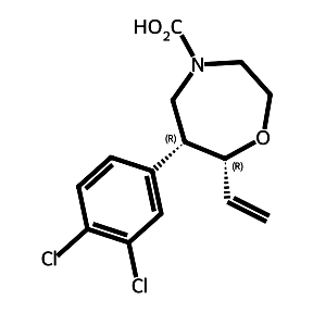 C=C[C@H]1OCCN(C(=O)O)C[C@H]1c1ccc(Cl)c(Cl)c1